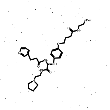 CCCCCCCCCCCCNC(=O)CCCOc1ccc(NC(NC(=O)CCc2cccnc2)C(=O)NCCN2CCCC2)cc1